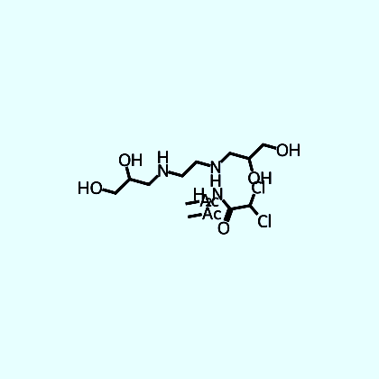 CC(C)=O.CC(C)=O.NC(=O)C(Cl)Cl.OCC(O)CNCCNCC(O)CO